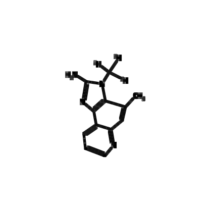 [2H]C([2H])([2H])n1c(N)nc2c3cccnc3cc(C)c21